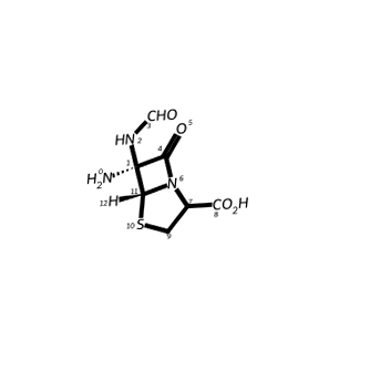 N[C@]1(NC=O)C(=O)N2C(C(=O)O)CS[C@@H]21